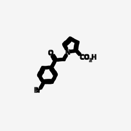 O=C(Cn1cccc1C(=O)O)c1ccc(Br)cc1